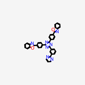 c1cnc(-c2cccc(-c3nc(-c4ccc(-c5nc6ccccc6o5)cc4)nc(-c4ccc(-c5nc6ccccc6o5)cc4)n3)c2)nc1